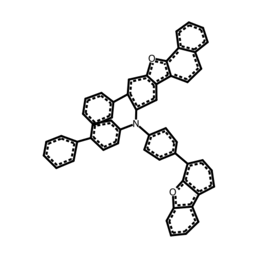 c1ccc(-c2ccc(N(c3ccc(-c4cccc5c4oc4ccccc45)cc3)c3cc4c(cc3-c3ccccc3)oc3c5ccccc5ccc43)cc2)cc1